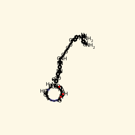 CO[C@H]1C[C@@H]2CC[C@@H](C)[C@@](O)(O2)C(=O)C(=O)N2CCCC[C@H]2C(=O)O[C@H]([C@H](N)C[C@@H]2CC[C@@H](OC(=O)N3CCc4nc(N5CCN(c6ncc(C(=O)NCCOCCOCCOCCOCCC(=O)N7CCc8cc(Cn9nc(-c%10ccc%11oc(N)nc%11c%10)c%10c(N)ncnc%109)ccc8C7)cn6)CC5)ncc4C3)[C@H](OC)C2)C[C@@H](OC)[C@H](C)/C=C(\C)[C@@H](O)[C@@H](OC)C(=O)[C@H](C)C[C@H](C)/C=C/C=C/C=C/1C